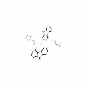 CCN(CC)CCCOc1cccc2c1-c1c(OC)cccc1C2=O.COc1cccc2c1-c1c(OCCN3CCCC3)cccc1C2=O